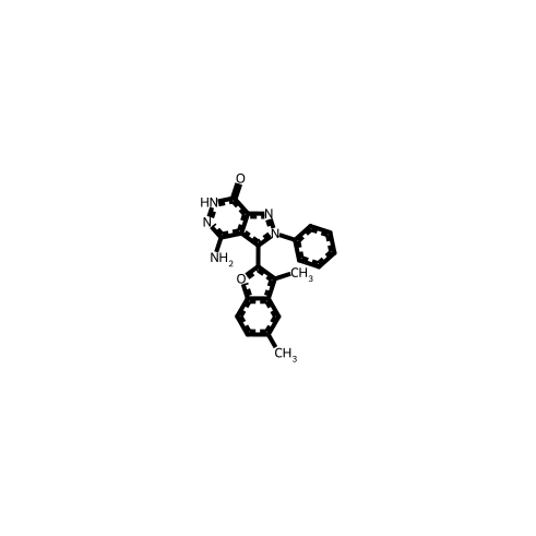 Cc1ccc2oc(-c3c4c(N)n[nH]c(=O)c4nn3-c3ccccc3)c(C)c2c1